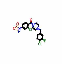 O=C(c1ccc(N[SH](=O)=O)cc1Cl)N1CCN(Cc2ccc(Cl)c(F)c2)CC1